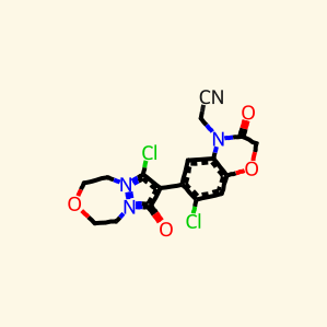 N#CCN1C(=O)COc2cc(Cl)c(-c3c(Cl)n4n(c3=O)CCOCC4)cc21